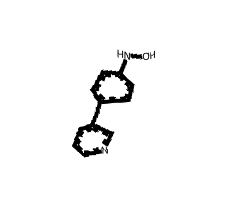 ONc1ccc(-c2cccnc2)cc1